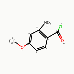 O=C(Cl)c1ccc(OC(F)(F)F)cc1[N+](=O)[O-]